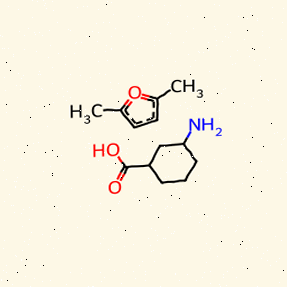 Cc1ccc(C)o1.NC1CCCC(C(=O)O)C1